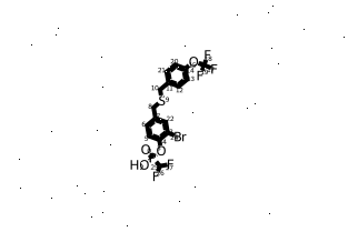 O=P(O)(Oc1ccc(CSCc2ccc(OC(F)(F)F)cc2)cc1Br)C(F)F